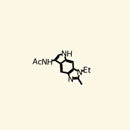 CCn1c(C)nc2cc3c(NC(C)=O)c[nH]c3cc21